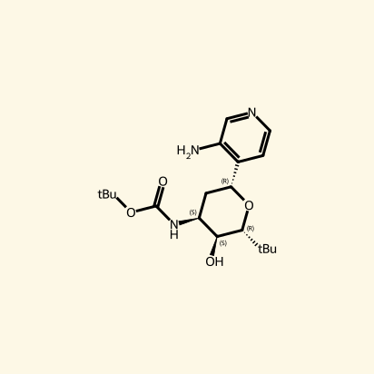 CC(C)(C)OC(=O)N[C@H]1C[C@H](c2ccncc2N)O[C@H](C(C)(C)C)[C@H]1O